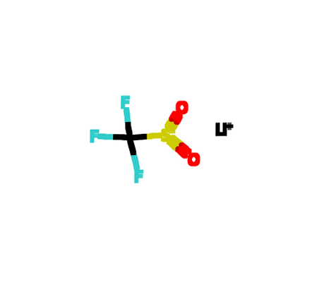 O=[S-](=O)C(F)(F)F.[Li+]